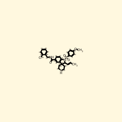 CC=CC1N(S(=O)(=O)c2ccc(OC)cc2)c2ccc(C(=O)NCc3ccccc3Cl)cc2C12CCNCC2